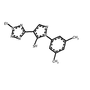 CCn1nnc(-c2cnn(-c3cc(C)cc(C)c3)c2S)n1